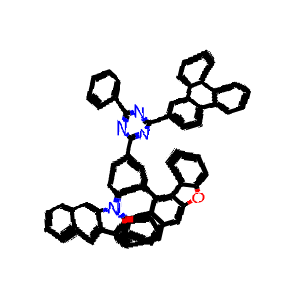 c1ccc(-c2nc(-c3ccc(-n4c5ccccc5c5cc6ccccc6cc54)c(-c4c5ccccc5cc5oc6ccccc6c45)c3)nc(-c3ccc4c5ccccc5c5ccccc5c4c3)n2)cc1